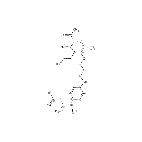 CCCc1c(O)c(C(C)=O)cc(C)c1OCCCSc1ccc(C(O)C(C)CC(=O)O)cc1